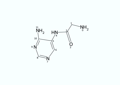 NCC(=O)Nc1cncnc1N